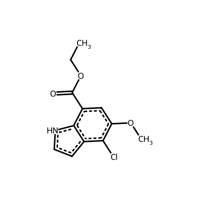 CCOC(=O)c1cc(OC)c(Cl)c2cc[nH]c12